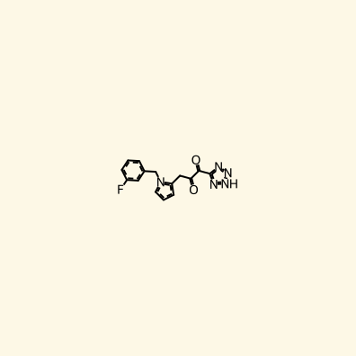 O=C(Cc1cccn1Cc1cccc(F)c1)C(=O)c1nn[nH]n1